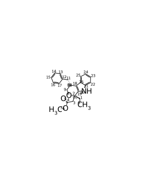 CC[C@@]1(CC(=O)OC)OC[C@H](Cc2ccccc2)c2c1[nH]c1ccccc21